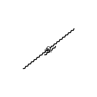 CCCCCCCCCCCCCCCCCCOCCCCCCCCCCCCCCCCCC.CCC[CH2][Sn][CH2]CCC